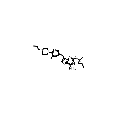 CCC[C@H](C)Oc1nc(N)c2ncc(Cc3cnc(N4CCN(CCC)CC4)c(C)c3)n2n1